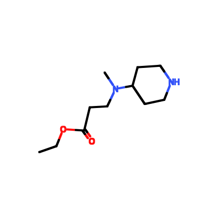 CCOC(=O)CCN(C)C1CCNCC1